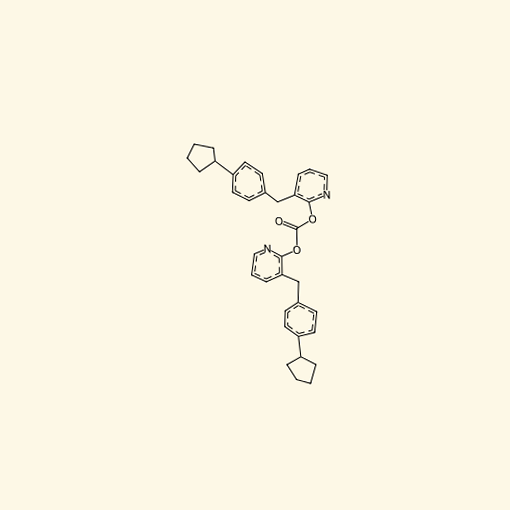 O=C(Oc1ncccc1Cc1ccc(C2CCCC2)cc1)Oc1ncccc1Cc1ccc(C2CCCC2)cc1